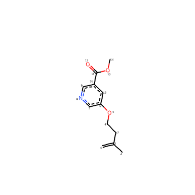 C=C(C)CCOc1cncc(C(=O)OC)c1